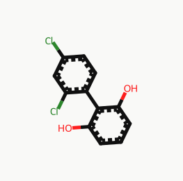 Oc1cccc(O)c1-c1ccc(Cl)cc1Cl